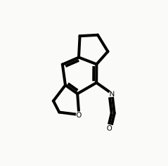 O=C=Nc1c2c(cc3c1OCC3)CCC2